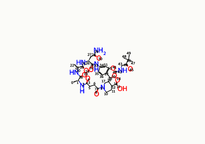 C[C@H](NC(=O)CCC(=O)N1CCC(C(=O)O)CC1)C(=O)N[C@@H](C)C(=O)N[C@@H](CC(N)=O)C(=O)Nc1ccc(COC(=O)NCC(=O)C(C)(C)C)cc1